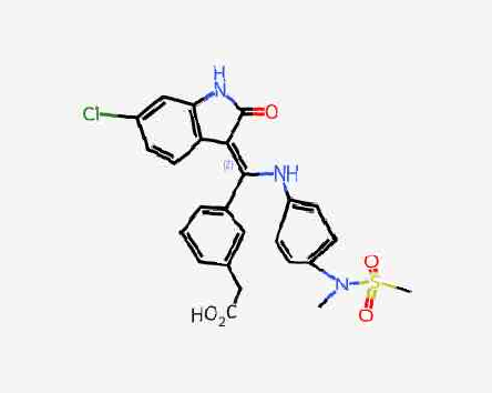 CN(c1ccc(N/C(=C2\C(=O)Nc3cc(Cl)ccc32)c2cccc(CC(=O)O)c2)cc1)S(C)(=O)=O